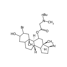 CCCCN(C)CC(=O)OC1C[C@]2(C)[C@@H](C(C)=O)CC[C@H]2[C@@H]2CCC3CC(O)C(Br)C[C@]3(C)[C@@H]12